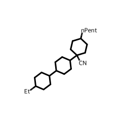 CCCCCC1CCC(C#N)(C2CCC(C3CCC(CC)CC3)CC2)CC1